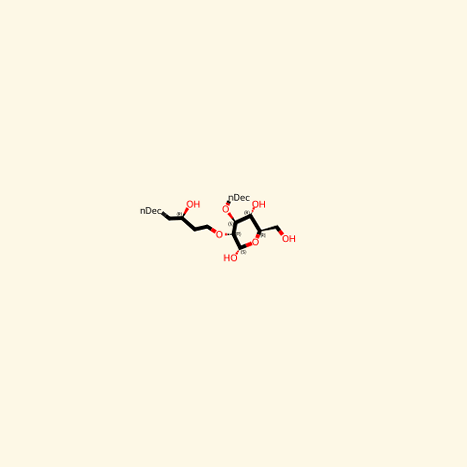 CCCCCCCCCCC[C@@H](O)CCO[C@@H]1[C@@H](OCCCCCCCCCC)[C@H](O)[C@@H](CO)O[C@@H]1O